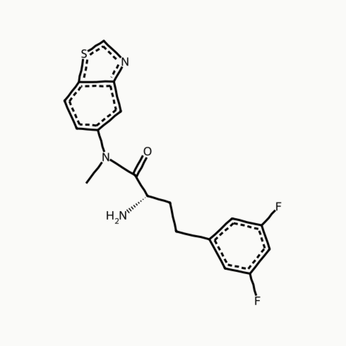 CN(C(=O)[C@@H](N)CCc1cc(F)cc(F)c1)c1ccc2scnc2c1